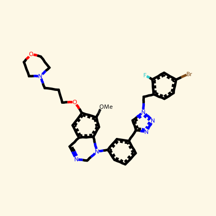 COc1cc2c(cc1OCCCN1CCOCC1)C=NCN2c1cccc(-c2cn(Cc3ccc(Br)cc3F)nn2)c1